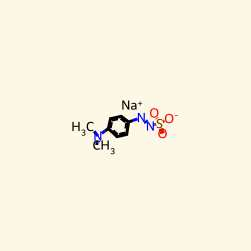 CN(C)c1ccc(N=NS(=O)(=O)[O-])cc1.[Na+]